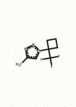 Cc1cn(C2(C(F)(F)F)CCC2)nn1